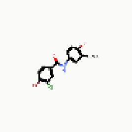 COc1cc(NC(=O)c2ccc(Br)c(Cl)c2)ccc1Br